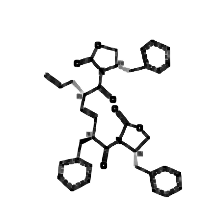 C=CC[C@@H](C=C[C@H](Cc1ccccc1)C(=O)N1C(=O)OC[C@@H]1Cc1ccccc1)C(=O)N1C(=O)OC[C@@H]1Cc1ccccc1